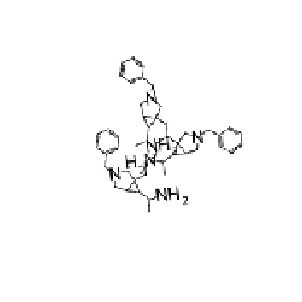 CC(N)C1C2CN(Cc3ccccc3)CC21CCCCC(CC12CN(Cc3ccccc3)CC1C2C(C)N)C12CN(Cc3ccccc3)CC1C2C(C)N